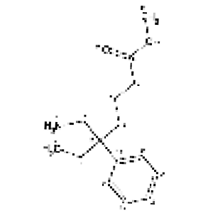 CCC(CN)(CCCC(=O)OC)c1ccccc1